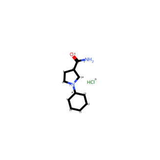 Cl.NC(=O)C1CCN(C2CCCCC2)C1